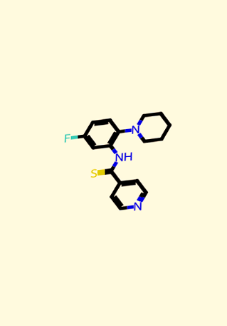 Fc1ccc(N2CCCCC2)c(NC(=S)c2ccncc2)c1